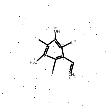 C=Cc1c(I)c(C)c(I)c(O)c1I